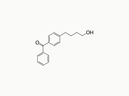 O=C(c1ccccc1)c1ccc(CCCCO)cc1